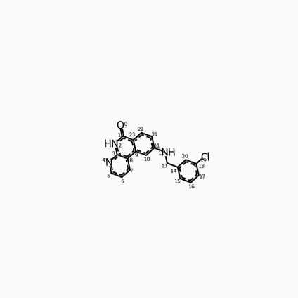 O=c1[nH]c2ncccc2c2cc(NCc3cccc(Cl)c3)ccc12